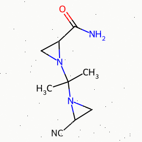 CC(C)(N1CC1C#N)N1CC1C(N)=O